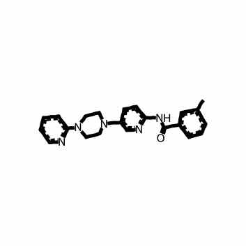 Cc1cccc(C(=O)Nc2ccc(N3CCN(c4ccccn4)CC3)cn2)c1